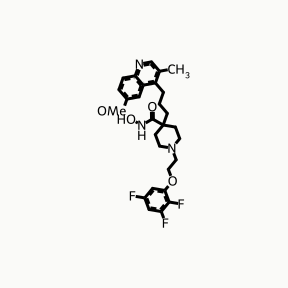 COc1ccc2ncc(C)c(CCCC3(C(=O)NO)CCN(CCOc4cc(F)cc(F)c4F)CC3)c2c1